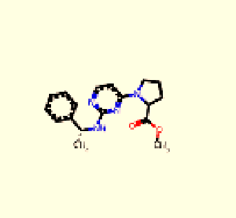 COC(=O)C1CCCN1c1ccnc(N[C@H](C)c2ccccc2)n1